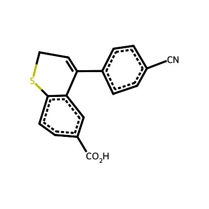 N#Cc1ccc(C2=CCSc3ccc(C(=O)O)cc32)cc1